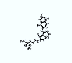 CCOP(=O)(CCCOc1cn2ncnc(Oc3ccc4[nH]c(C)cc4c3F)c2c1C)OCC